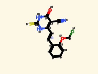 N#Cc1c(/C=C/c2ccccc2OCCl)[nH]c(=S)[nH]c1=O